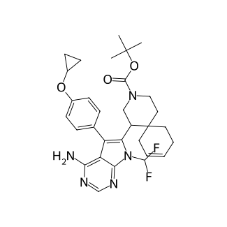 CC(C)(C)OC(=O)N1CCC2(CC=CCC2)C(c2c(-c3ccc(OC4CC4)cc3)c3c(N)ncnc3n2C(F)F)C1